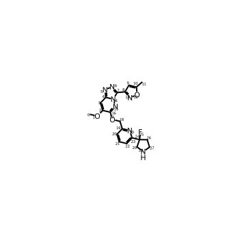 COc1cc2nnc(-c3cc(C)on3)n2nc1OCc1cccc(C2(F)CCNC2)n1